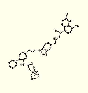 O=C(Nc1cc(CCCn2nnc3cc(CNCC(O)c4ccc(O)c5[nH]c(=O)ccc45)ccc32)ccc1-c1ccccc1)O[C@H]1CN2CCC1CC2